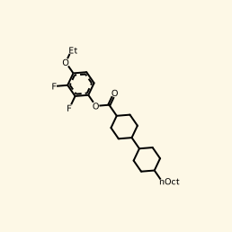 CCCCCCCCC1CCC(C2CCC(C(=O)Oc3ccc(OCC)c(F)c3F)CC2)CC1